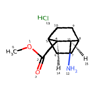 COC(=O)[C@H]1C2CCC(CC2)[C@H]1N.Cl